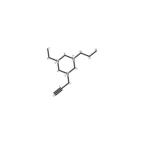 C#CCN1CN(CC)CN(CCC)C1